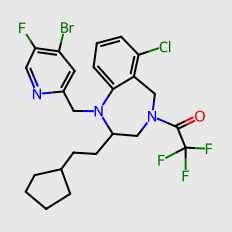 O=C(N1Cc2c(Cl)cccc2N(Cc2cc(Br)c(F)cn2)C(CCC2CCCC2)C1)C(F)(F)F